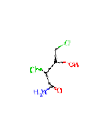 NC(=O)C(Cl)C(O)CCl